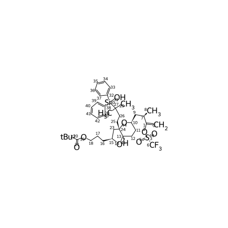 C=C(OS(=O)(=O)C(F)(F)F)[C@H](C)C[C@H]1CC[C@@H]2O[C@@H](CCCOC(=O)C(C)(C)C)C[C@]2(CCC(C)(C)[Si](O)(c2ccccc2)c2ccccc2)O1